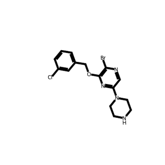 Clc1cccc(COc2nc(N3CCNCC3)cnc2Br)c1